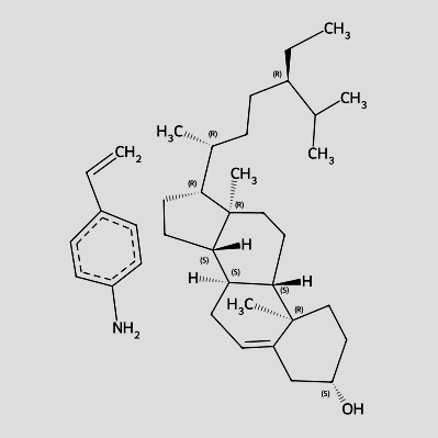 C=Cc1ccc(N)cc1.CC[C@H](CC[C@@H](C)[C@H]1CC[C@H]2[C@@H]3CC=C4C[C@@H](O)CC[C@]4(C)[C@H]3CC[C@]12C)C(C)C